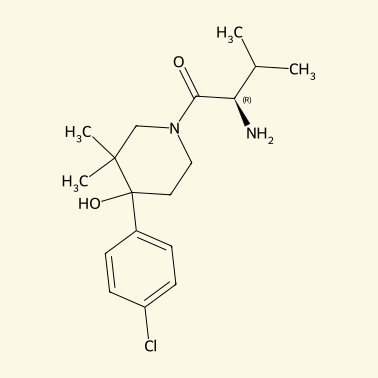 CC(C)[C@@H](N)C(=O)N1CCC(O)(c2ccc(Cl)cc2)C(C)(C)C1